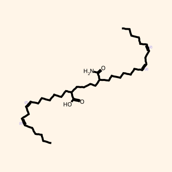 CCCCC/C=C\C/C=C\CCCCCCC(CCCCC(CCCCCC/C=C\C/C=C\CCCCC)C(=O)O)C(N)=O